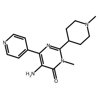 CN1CCC(c2nc(-c3ccncc3)c(N)c(=O)n2C)CC1